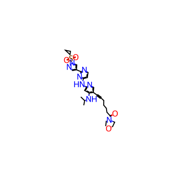 CC(C)Nc1cc(Nc2ccnc(-c3cnn(S(=O)(=O)C4CC4)c3)n2)ncc1C#CCCCCC(=O)N1CCOCC1